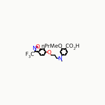 CCCc1c(OCCCN(C)c2ccc(C(=O)O)c(OC)c2)ccc2c(C(F)(F)F)noc12